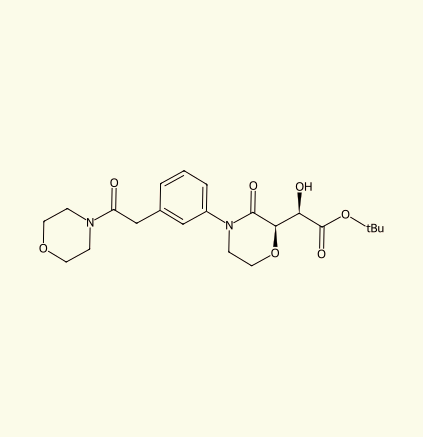 CC(C)(C)OC(=O)[C@H](O)[C@H]1OCCN(c2cccc(CC(=O)N3CCOCC3)c2)C1=O